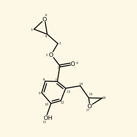 O=C(OCC1CO1)c1ccc(O)cc1CC1CO1